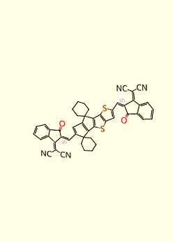 N#CC(C#N)=C1/C(=C/C2=CC3=C(c4sc5cc(/C=C6\C(=O)c7ccccc7C6=C(C#N)C#N)sc5c4C34CCCCC4)C23CCCCC3)C(=O)c2ccccc21